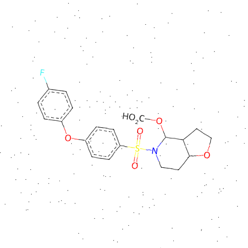 O=C(O)OC1C2CCOC2CCN1S(=O)(=O)c1ccc(Oc2ccc(F)cc2)cc1